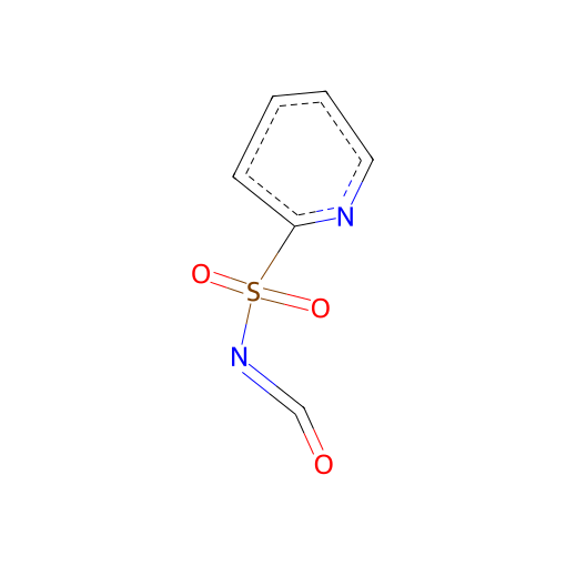 O=C=NS(=O)(=O)c1ccccn1